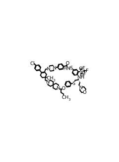 CCCC(=O)N1CCC2(CCN(CC3(C)CCC(c4ccc(Cl)cc4)=C(CN4CCN(c5ccc(C(=O)NSc6ccc(N[C@H](CCN7CCOCC7)CSc7ccccc7)c(S(=O)(=O)C(F)(F)F)c6)cc5)CC4)C3)CC2)CC1